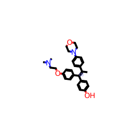 C/C(=C(\c1ccc(O)cc1)c1ccc(OCCN(C)C)cc1)c1ccc(N2CCOCC2)cc1